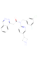 O=C(Cc1nncc2ccccc12)N(Cc1cc(F)cc(Cl)c1)c1ccc(C2CNC2)cn1